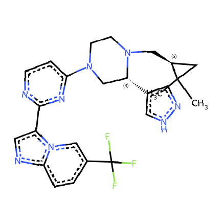 CC1(C)C[C@@H]1CN1CCN(c2ccnc(-c3cnc4ccc(C(F)(F)F)cn34)n2)C[C@H]1c1cn[nH]c1